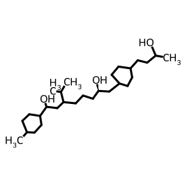 CC(O)CCC1CCC(C[C@H](O)CCCC(CC(O)C2CCC(C)CC2)C(C)C)CC1